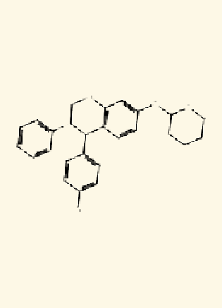 Oc1ccc(C2c3ccc(OC4CCCCO4)cc3OC[C@@H]2c2ccccc2)cc1